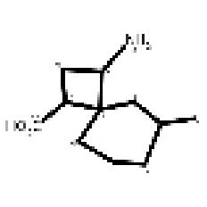 CC1CCCC2(C1)C(N)CC2C(=O)O